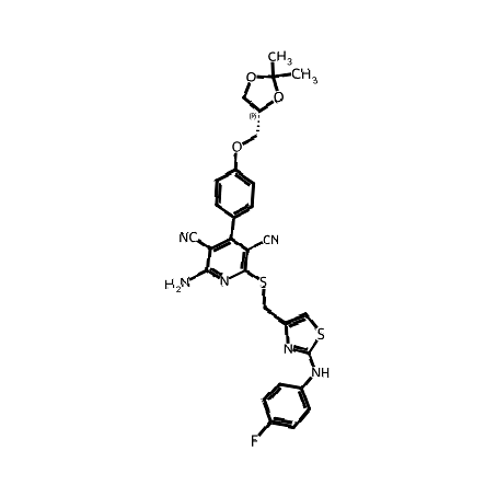 CC1(C)OC[C@@H](COc2ccc(-c3c(C#N)c(N)nc(SCc4csc(Nc5ccc(F)cc5)n4)c3C#N)cc2)O1